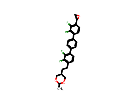 CC1OCC(CCc2ccc(-c3ccc(-c4ccc(C5CO5)c(F)c4F)cc3)c(F)c2F)CO1